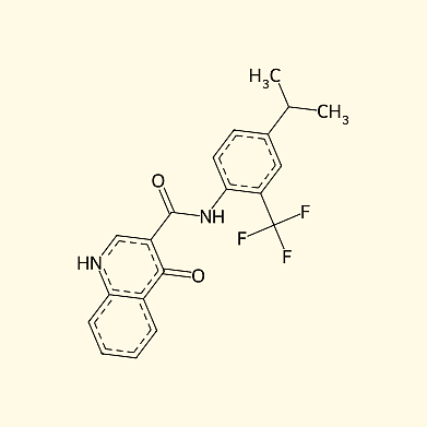 CC(C)c1ccc(NC(=O)c2c[nH]c3ccccc3c2=O)c(C(F)(F)F)c1